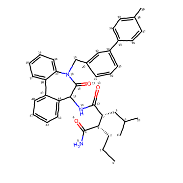 CCC[C@H](C(N)=O)[C@@H](CC(C)C)C(=O)NC1C(=O)N(Cc2cccc(-c3ccc(C)cc3)c2)c2ccccc2-c2ccccc21